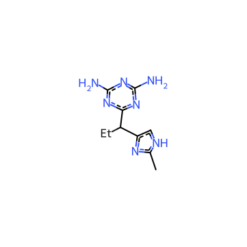 CCC(c1c[nH]c(C)n1)c1nc(N)nc(N)n1